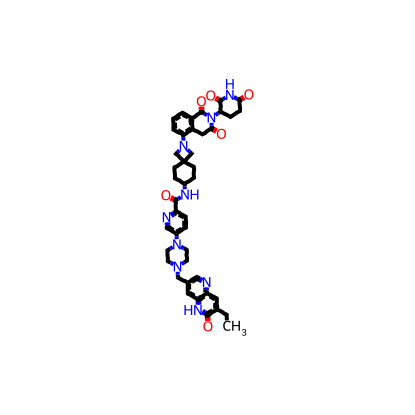 CCc1cc2ncc(CN3CCN(c4ccc(C(=O)NC5CCC6(CC5)CN(c5cccc7c5CC(=O)N(C5CCC(=O)NC5=O)C7=O)C6)nc4)CC3)cc2[nH]c1=O